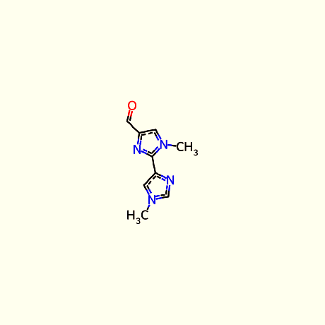 Cn1cnc(-c2nc(C=O)cn2C)c1